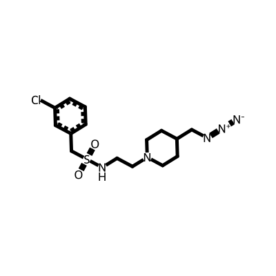 [N-]=[N+]=NCC1CCN(CCNS(=O)(=O)Cc2cccc(Cl)c2)CC1